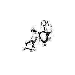 Cc1cccc(-c2ccncn2)c1C#N